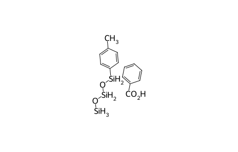 Cc1ccc([SiH2]O[SiH2]O[SiH3])cc1.O=C(O)c1ccccc1